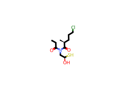 CCC(=O)N(C[C@H](O)S)C(=O)[C@@H](C)CCCCl